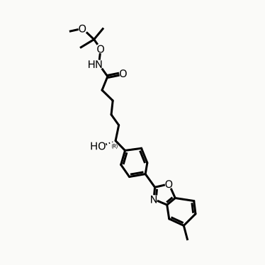 COC(C)(C)ONC(=O)CCCC[C@@H](O)c1ccc(-c2nc3cc(C)ccc3o2)cc1